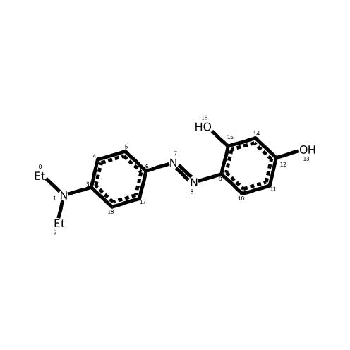 CCN(CC)c1ccc(/N=N/c2ccc(O)cc2O)cc1